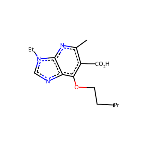 CCn1cnc2c(OCCC(C)C)c(C(=O)O)c(C)nc21